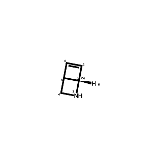 C1=C[C@@H]2NCC12